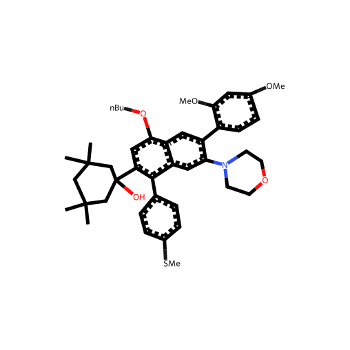 CCCCOc1cc(C2(O)CC(C)(C)CC(C)(C)C2)c(-c2ccc(SC)cc2)c2cc(N3CCOCC3)c(-c3ccc(OC)cc3OC)cc12